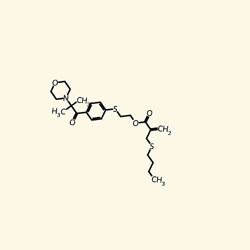 C=C(CSCCCC)C(=O)OCCSc1ccc(C(=O)C(C)(C)N2CCOCC2)cc1